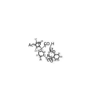 CC[C@@H]1CN(Cc2cc(C(CC(=O)O)c3c(C)c(C(C)=O)c(C)n3C)ccc2C)S(=O)(=O)c2ccccc2O1